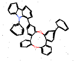 c1ccc(-c2ccc3c(c2)Oc2cc(-c4cccc5c6ccccc6n(-c6ccccc6)c45)ccc2-c2ccccc2Oc2ccccc2-3)cc1